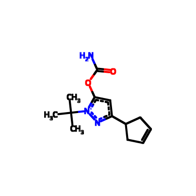 CC(C)(C)n1nc(C2CC=CC2)cc1OC(N)=O